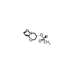 CS(=O)(=O)O[C@@H]1COc2ccnn2C1